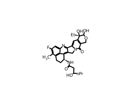 CCCC(O)CC(=O)N[C@H]1CCc2c(C)c(F)cc3nc4c(c1c23)Cn1c-4cc2c(c1=O)COC(O)[C@]2(O)CC